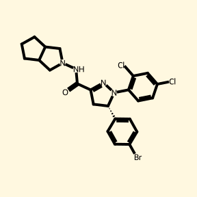 O=C(NN1CC2CCCC2C1)C1=NN(c2ccc(Cl)cc2Cl)[C@H](c2ccc(Br)cc2)C1